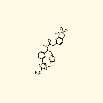 CN(C(=O)Cc1ccc2c(c1)NS(=O)(=O)C2)C(CN1CC[C@H](O)C1)c1cccc(-c2noc(C(F)(F)F)n2)c1